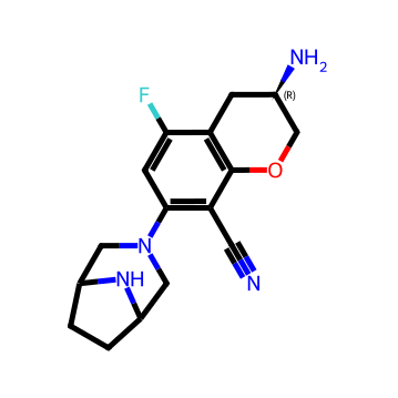 N#Cc1c(N2CC3CCC(C2)N3)cc(F)c2c1OC[C@H](N)C2